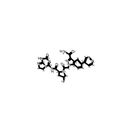 NC(=O)c1nn(CC(=O)N2CC(F)CC2C(=O)NC2=NC(=O)NC3=NCCN32)c2ccc(-c3ccnnc3)cc12